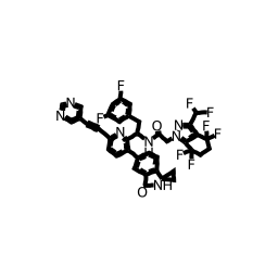 O=C(Cn1nc(C(F)F)c2c1C(F)(F)CCC2(F)F)NC(Cc1cc(F)cc(F)c1)c1nc(C#Cc2cncnc2)ccc1-c1ccc2c(c1)C(=O)NC21CC1